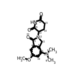 COc1cc2c(c(N(C)C)c1)CN(C1CCC(=O)NC1=O)C2=O